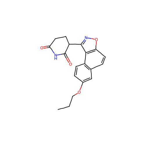 CCCOc1ccc2c(ccc3onc(C4CCC(=O)NC4=O)c32)c1